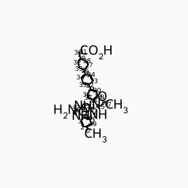 Cc1ccc(OC(N)(N)N)c(NC(=O)N2CC(C)Oc3cc(-c4ccc(C5CCC(CC(=O)O)CC5)cc4)ccc32)c1